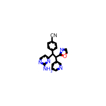 N#Cc1ccc(C(c2ccnc(N)n2)C(c2cccnc2)c2ncco2)cc1